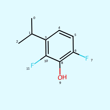 CC(C)c1ccc(F)c(O)c1F